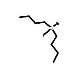 CCCC[Si](Br)(I)CCCC